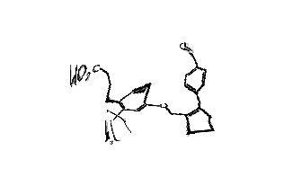 O=C(O)CCc1ccc(OCC2=C(c3ccc(Cl)cc3)CCC2)cc1C(F)(F)C(F)(F)F